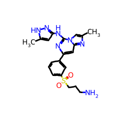 Cc1cn2c(Nc3cc(C)[nH]n3)nc(-c3cccc(S(=O)(=O)CCCN)c3)cc2n1